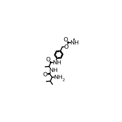 CNC(=O)OCc1ccc(NC(=O)C(C)NC(=O)C(N)C(C)C)cc1